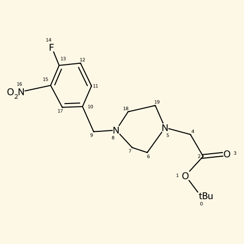 CC(C)(C)OC(=O)CN1CCN(Cc2ccc(F)c([N+](=O)[O-])c2)CC1